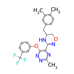 Cc1nnc(Oc2cccc(C(F)(F)F)c2)c(C2=NOCC(Cc3ccc(C)c(C)c3)N2)n1